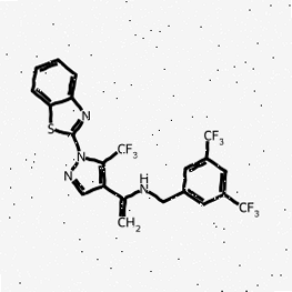 C=C(NCc1cc(C(F)(F)F)cc(C(F)(F)F)c1)c1cnn(-c2nc3ccccc3s2)c1C(F)(F)F